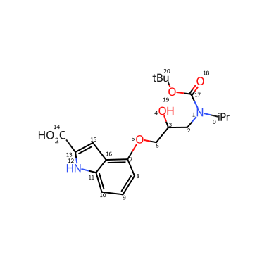 CC(C)N(CC(O)COc1cccc2[nH]c(C(=O)O)cc12)C(=O)OC(C)(C)C